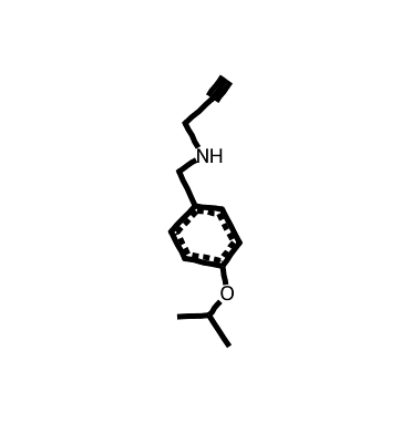 C#CCNCc1ccc(OC(C)C)cc1